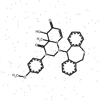 COc1ccc(N2CN(C3c4ccccc4CSc4ccccc43)N3C=CC(=O)C(O)C3(C)C2=O)cc1